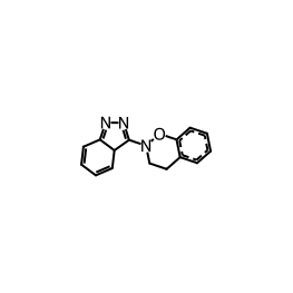 C1=CC2=NN=C(N3CCc4ccccc4O3)C2C=C1